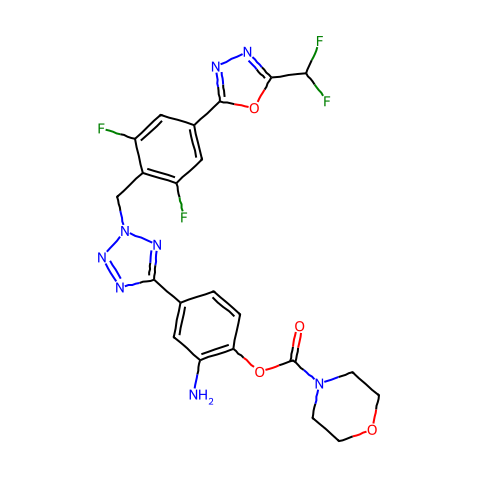 Nc1cc(-c2nnn(Cc3c(F)cc(-c4nnc(C(F)F)o4)cc3F)n2)ccc1OC(=O)N1CCOCC1